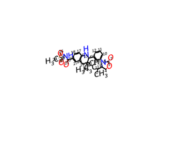 CC(C)C1COC(=O)N1c1cccc(C2Nc3ccc(C(=O)NS(C)(=O)=O)cc3CC2(C)C)c1